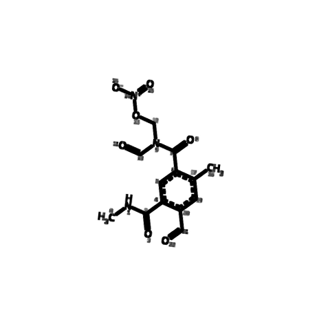 CNC(=O)c1cc(C(=O)N(C=O)CO[N+](=O)[O-])c(C)cc1C=O